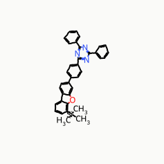 C[Si](C)(C)c1cccc2c1oc1cc(-c3ccc(-c4nc(-c5ccccc5)nc(-c5ccccc5)n4)cc3)ccc12